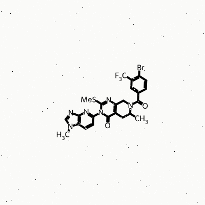 CSc1nc2c(c(=O)n1-c1ccc3c(ncn3C)n1)CC(C)N(C(=O)c1ccc(Br)c(C(F)(F)F)c1)C2